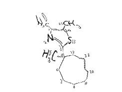 Cc1nc(C2(C)CCCCCCC2)sc1C